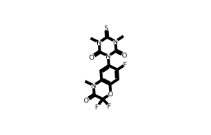 CN1C(=O)C(F)(F)Oc2cc(F)c(-n3c(=O)n(C)c(=S)n(C)c3=O)cc21